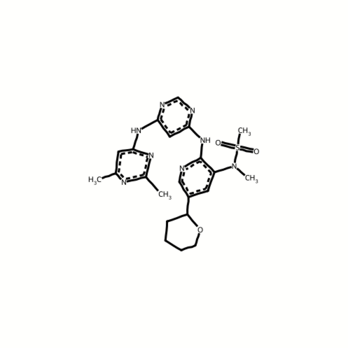 Cc1cc(Nc2cc(Nc3ncc(C4CCCCO4)cc3N(C)S(C)(=O)=O)ncn2)nc(C)n1